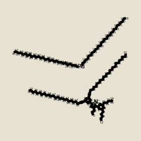 CC=CC1=C(c2cc(CCCCC)cc(CCCCC)c2)[N+](=[N-])C(c2cc(C#CCCCCCCCCCCCCCCCCCCCCCCC)cc(C#CCCCCCCCCCCCCCCCCCCCCCCC)c2)=C1.CCCCCCCCCCCCCCCCCCCCCCCCCCCC[CH2][Pd][CH2]CCCCCCCCCCCCCCCCCCCCCCCCCCCC